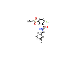 CNS(=O)(=O)c1ccc(F)c(C(=O)NCc2cccc(C)c2)c1